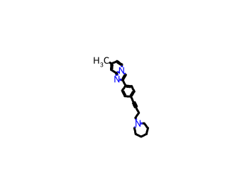 Cc1ccn2cc(-c3ccc(C#CCCN4CCCCCC4)cc3)nc2c1